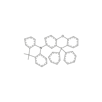 CC1(C)c2ccccc2N(c2ccc3c(c2)S(c2ccccc2)(c2ccccc2)c2ccccc2O3)c2ccccc21